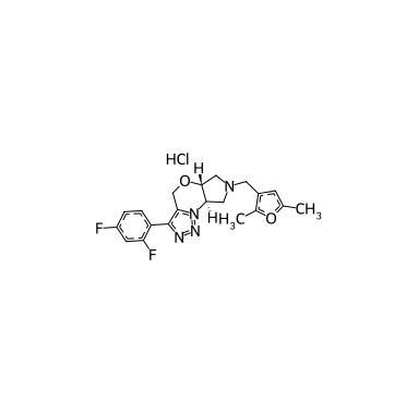 Cc1cc(CN2C[C@@H]3[C@@H](C2)OCc2c(-c4ccc(F)cc4F)nnn23)c(C)o1.Cl